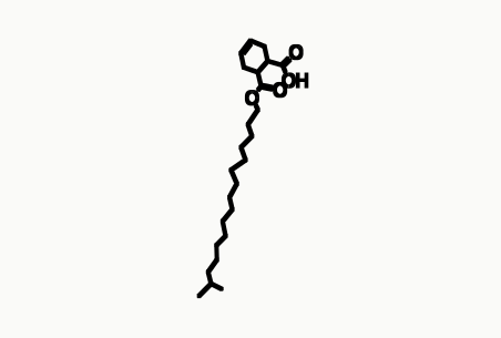 CC(C)CCCCCCCCCCCCCCOC(=O)C1CC=CCC1C(=O)O